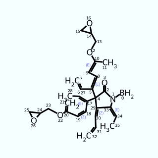 BN1C(=O)C(/C(C=C)=C/C=C(\C)OCC2CO2)(C(/C=C\C(=C)OCC2CO2)=C/C)C(=C/C=C)/C1=C\C